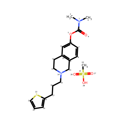 CN(C)C(=O)Oc1ccc2c(c1)CCN(CCCc1cccs1)C2.CS(=O)(=O)O